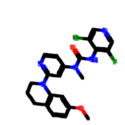 COc1ccc2c(c1)N(c1cc(N(C)C(=O)Nc3c(F)cncc3Cl)ccn1)CCC2